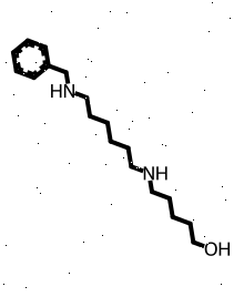 OCCCCCNCCCCCCNCc1ccccc1